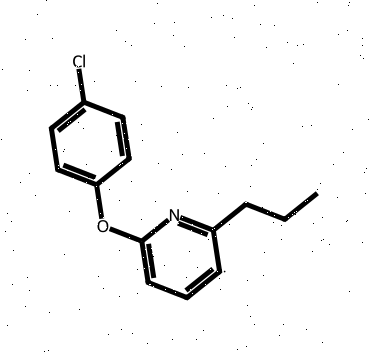 CCCc1[c]ccc(Oc2ccc(Cl)cc2)n1